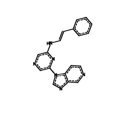 C(=Cc1ccccc1)Nc1cncc(-n2cnc3cnccc32)n1